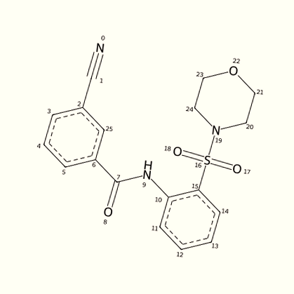 N#Cc1cccc(C(=O)Nc2ccccc2S(=O)(=O)N2CCOCC2)c1